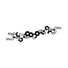 C=C([C@@H](NC(=O)OC)C(C)C)N1[C@@H](C)CC[C@H]1c1ncc(-c2ccc3c(c2)COc2cc4c(ccc5nc([C@@H]6CC[C@H](C)N6C(=O)[C@@H](NC(=O)OC)[C@@H](C)OC)[nH]c54)cc2-3)[nH]1